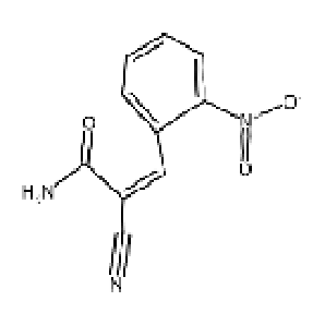 N#C/C(=C/c1ccccc1[N+](=O)[O-])C(N)=O